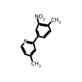 Cc1ccnc(-c2ccc(C)c([N+](=O)[O-])c2)c1